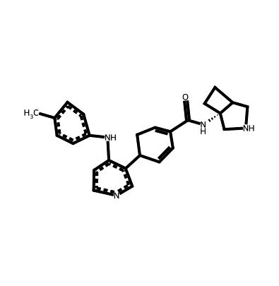 Cc1ccc(Nc2ccncc2C2C=CC(C(=O)N[C@]34CCC3CNC4)=CC2)cc1